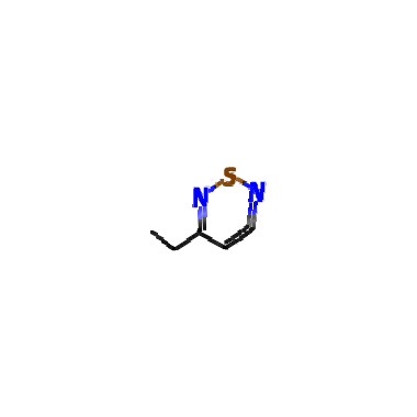 CCC1=NSN=C=C1